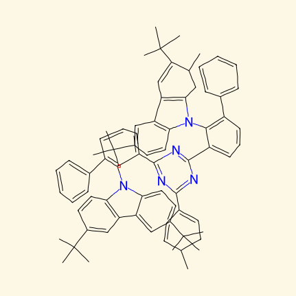 CC1C=CC(c2nc(-c3cccc(-c4ccccc4)c3-n3c4c(c5cc(C(C)(C)C)ccc53)C=C(C(C)(C)C)C(C)C4)nc(-c3cccc(-c4ccccc4)c3-n3c4ccc(C(C)(C)C)cc4c4cc(C(C)(C)C)ccc43)n2)=CC1